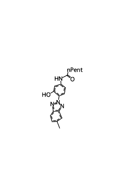 CCCCCC(=O)Nc1ccc(-n2nc3ccc(C)cc3n2)c(O)c1